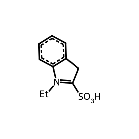 CC[N+]1=C(S(=O)(=O)O)Cc2ccccc21